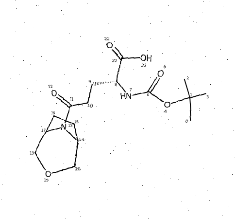 CC(C)(C)OC(=O)N[C@H](CCC(=O)N1C2CCC1COC2)C(=O)O